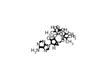 CC(C)[Si]1(C(C)C)OC[C@@]23C[C@@H]2[C@@H](n2cnc4c(N)ncnc42)C(=O)[C@H]3O[Si](C(C)C)(C(C)C)O1